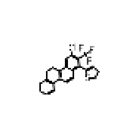 FC(F)(F)c1c(Cl)cc2c3c(ccc2c1C1=CCCS1)C1=C(CCC=C1)CC3